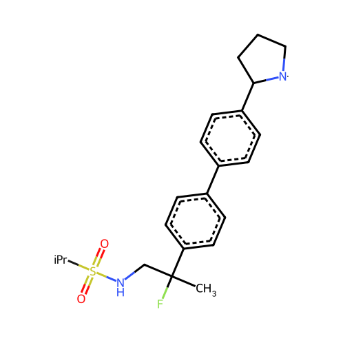 CC(C)S(=O)(=O)NCC(C)(F)c1ccc(-c2ccc(C3CCC[N]3)cc2)cc1